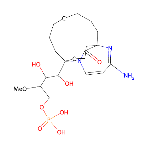 COC(COP(=O)(O)O)C(O)C(O)C12CCCCCCCC3(CCC1)N=C(N)C=CN2C3=O